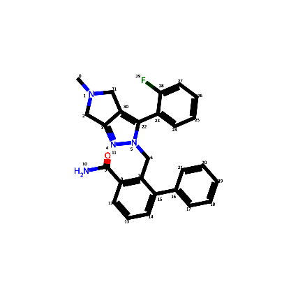 CN1Cc2nn(Cc3c(C(N)=O)cccc3-c3ccccc3)c(-c3ccccc3F)c2C1